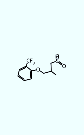 CC(COc1ccccc1C(F)(F)F)C[SH](=O)=O